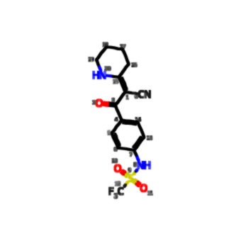 N#C/C(C(=O)c1ccc(NS(=O)(=O)C(F)(F)F)cc1)=C1\CCCCN1